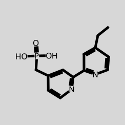 CCc1ccnc(-c2cc(CP(=O)(O)O)ccn2)c1